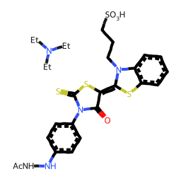 CC(=O)NNc1ccc(N2C(=O)/C(=C3\Sc4ccccc4N3CCCS(=O)(=O)O)SC2=S)cc1.CCN(CC)CC